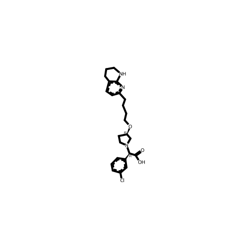 O=C(O)[C@@H](c1cccc(Cl)c1)N1CC[C@@H](OCCCCc2ccc3c(n2)NCCC3)C1